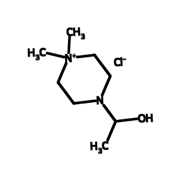 CC(O)N1CC[N+](C)(C)CC1.[Cl-]